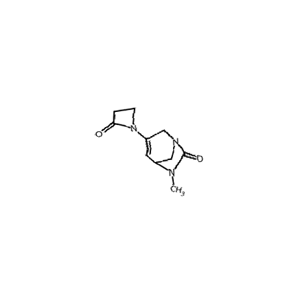 CN1C(=O)N2CC(N3CCC3=O)=CC1C2